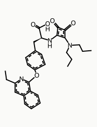 CCCN(CCC)c1c(N[C@@H](Cc2ccc(Oc3nc(CC)cc4ccccc34)cc2)C(=O)O)c(=O)c1=O